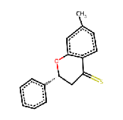 Cc1ccc2c(c1)O[C@@H](c1ccccc1)CC2=S